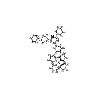 c1ccc(-c2ccc(-c3cc(-c4ccc(-c5cccc6c5-c5ccccc5C6(c5ccccc5)c5ccccc5)cc4)nc(-c4ccccc4)n3)cc2)cc1